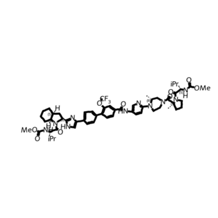 COC(=O)N[C@H](C(=O)N1[C@H](c2nc(-c3ccc(-c4ccc(C(=O)Nc5ccc(N6CCN(C(=O)[C@]7(C)CCCN7C(=O)[C@@H](NC(=O)OC)C(C)C)C[C@H]6C)nc5)cc4OC(F)(F)F)cc3)c[nH]2)C[C@@H]2CCCC[C@@H]21)C(C)C